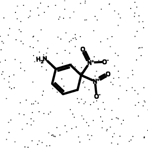 NC1=CC([N+](=O)[O-])([N+](=O)[O-])CC=C1